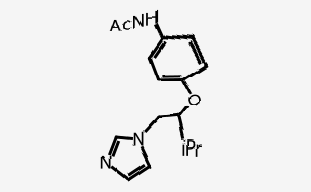 CC(=O)Nc1ccc(OC(Cn2ccnc2)C(C)C)cc1